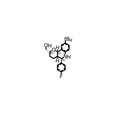 CC(C)(C)c1ccc2c(c1)[C@H]1O[C@@H](CO)CC[C@H]1[C@H](c1ccc(F)cc1)N2